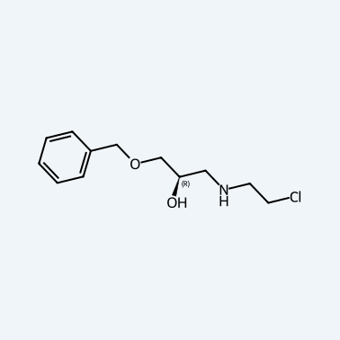 O[C@H](CNCCCl)COCc1ccccc1